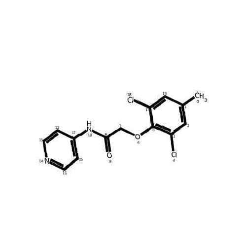 Cc1cc(Cl)c(OCC(=O)Nc2ccncc2)c(Cl)c1